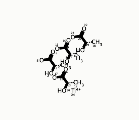 C[C@H](O)C(=O)[O-].C[C@H](O)C(=O)[O-].C[C@H](O)C(=O)[O-].C[C@H](O)C(=O)[O-].[Ti+4]